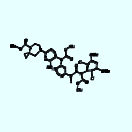 COc1cc(OC)c(Cl)c(N(C(=O)OC(C)(C)C)C(=O)N(C)c2cc(N(C(=O)OC(C)(C)C)c3ccc(N4CCN(C(=O)OC(C)(C)C)C5(CC5)C4)cc3[N+](=O)[O-])ncn2)c1Cl